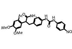 COc1cc(C(C)=O)c(C(Cc2ccc(NC(=O)Nc3ccc([N+](=O)[O-])cc3)cc2)C(N)=O)cc1OC